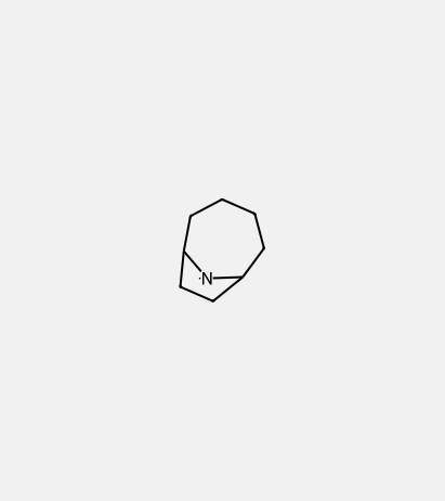 C1CCC2CCC(C1)[N]2